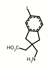 NCC1(CC(=O)O)Cc2ccc(I)cc2C1